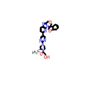 C[C@H]1CN(c2ncc(-c3ccc4nc5n(c4n3)C3(COC5)COc4ccccc43)cn2)CCN1C(=O)CO